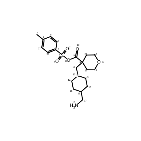 Cc1ccc(S(=O)(=O)OC(=O)C2(CN3CCC(CN)CC3)CCOCC2)cc1